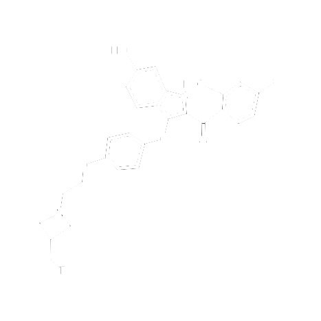 Cc1cc(Cl)ccc1C(=O)c1sc2cc(O)ccc2c1Oc1ccc(OCCN2CC(CF)C2)cc1